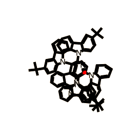 CC(C)(C)c1ccc2c(c1)c1ccccc1n2-c1nc(-n2c3ccccc3c3cc(C(C)(C)C)ccc32)c(-n2c3ccccc3c3cc(C(C)(C)C)ccc32)c(-c2ccccc2-c2nc3ccccc3n2-c2ccccc2)c1-n1c2ccccc2c2cc(C(C)(C)C)ccc21